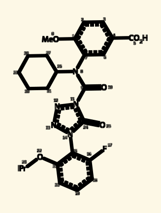 COc1ccc(C(=O)O)cc1N(C(=O)n1nnn(-c2c(F)cccc2OC(C)C)c1=O)C1CCCCC1